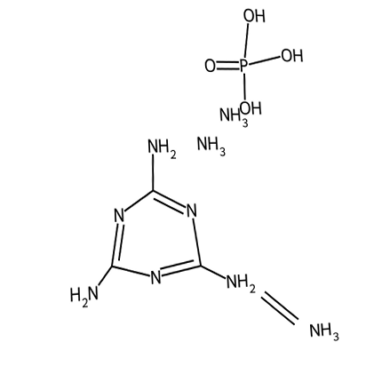 C=C.N.N.N.Nc1nc(N)nc(N)n1.O=P(O)(O)O